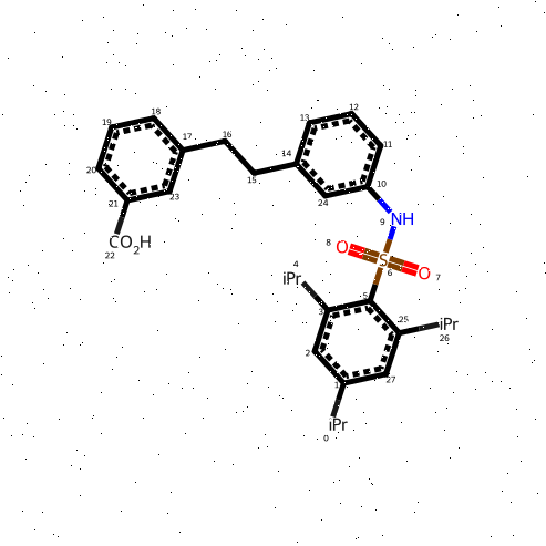 CC(C)c1cc(C(C)C)c(S(=O)(=O)Nc2cccc(CCc3cccc(C(=O)O)c3)c2)c(C(C)C)c1